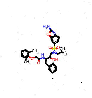 Cc1cccc(C)c1OCC(=O)NC(Cc1ccccc1)C(O)CN(CC(C)C)S(=O)(=O)c1ccc2nc(N)oc2c1